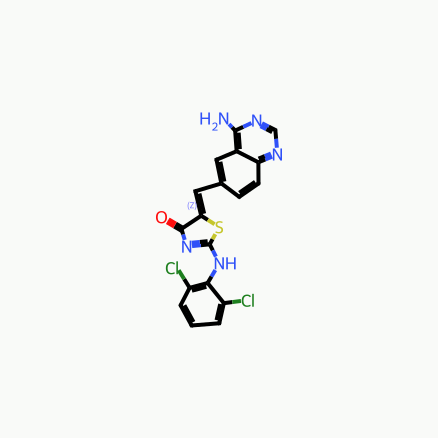 Nc1ncnc2ccc(/C=C3\SC(Nc4c(Cl)cccc4Cl)=NC3=O)cc12